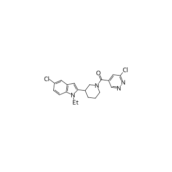 CCn1c(C2CCCN(C(=O)c3cnnc(Cl)c3)C2)cc2cc(Cl)ccc21